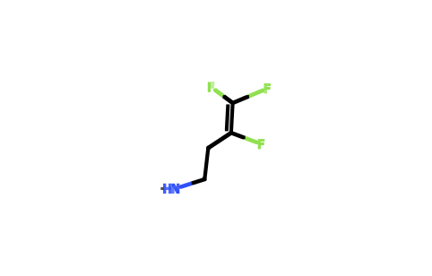 [NH]CCC(F)=C(F)F